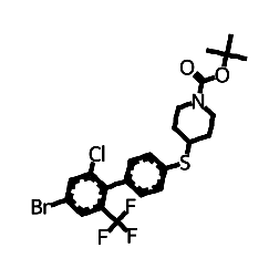 CC(C)(C)OC(=O)N1CCC(Sc2ccc(-c3c(Cl)cc(Br)cc3C(F)(F)F)cc2)CC1